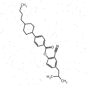 CCCCC1CCC(c2ccc(C(=O)Oc3ccc(CC(C)C)cc3C#N)cc2)CC1